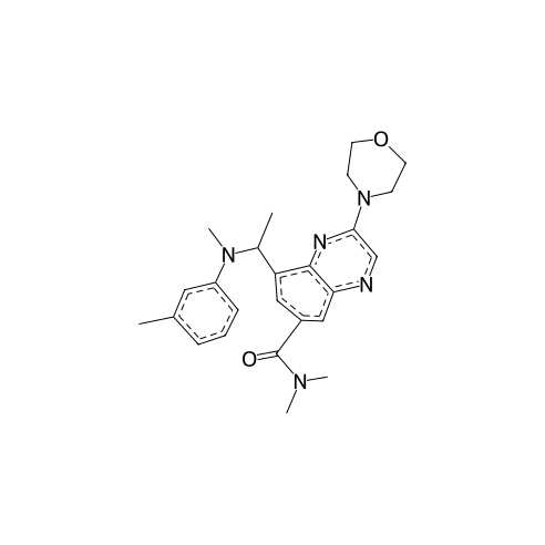 Cc1cccc(N(C)C(C)c2cc(C(=O)N(C)C)cc3ncc(N4CCOCC4)nc23)c1